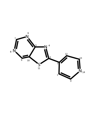 c1cc(-c2nc3ncncc3s2)ccn1